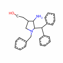 NC1C(CCO)CN(Cc2ccccc2)C1C(c1ccccc1)c1ccccc1